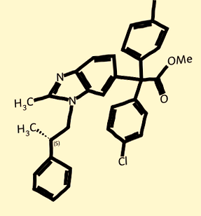 COC(=O)C(c1ccc(Cl)cc1)(c1ccc(Cl)cc1)c1ccc2nc(C)n(C[C@@H](C)c3ccccc3)c2c1